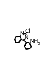 Nc1ccccc1-c1nc(Cl)nc2ccccc12